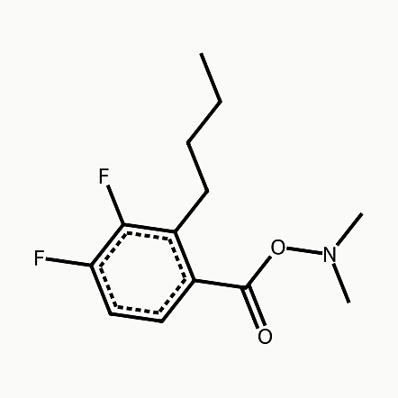 CCCCc1c(C(=O)ON(C)C)ccc(F)c1F